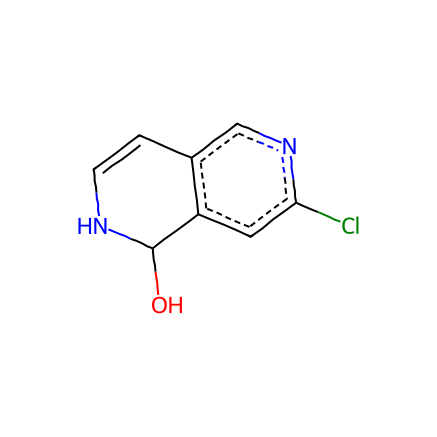 OC1NC=Cc2cnc(Cl)cc21